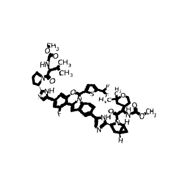 COC(=O)NC(C(=O)N1[C@@H]2C[C@@H]2C[C@H]1c1ncc(-c2ccc3c(c2)cc2n3C(c3ccc(C(F)F)s3)Oc3cc(-c4cnc([C@@H]5CCCN5C(=O)[C@@H](NC(=O)OC)C(C)C)[nH]4)cc(F)c3-2)[nH]1)C1CCOC(C)(C)C1